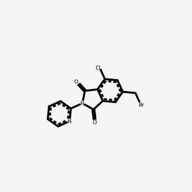 O=C1c2cc(CBr)cc(Cl)c2C(=O)N1c1ccccn1